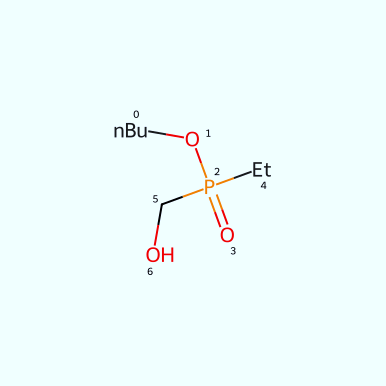 CCCCOP(=O)(CC)CO